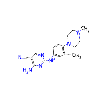 Cc1cc(Nc2ncc(C#N)c(N)n2)ccc1N1CCN(C)CC1